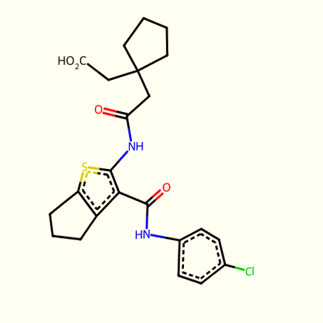 O=C(O)CC1(CC(=O)Nc2sc3c(c2C(=O)Nc2ccc(Cl)cc2)CCC3)CCCC1